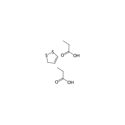 C1=CSSC1.CCC(=O)O.CCC(=O)O